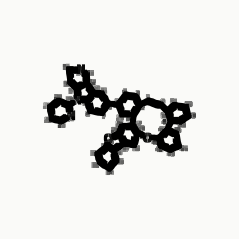 C1=C\c2ccc(-c3ccc4c(c3)c3cnccc3n4-c3ccccn3)cc2-c2cc3oc4ccccc4c3cc2Oc2ccccc2-c2ccccc2/1